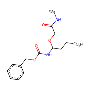 CC(C)(C)NC(=O)COC(CCC(=O)O)NC(=O)OCc1ccccc1